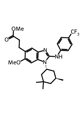 COC(=O)CCc1cc2nc(Nc3ccc(C(F)(F)F)cc3)n([C@@H]3C[C@@H](C)CC(C)(C)C3)c2cc1OC